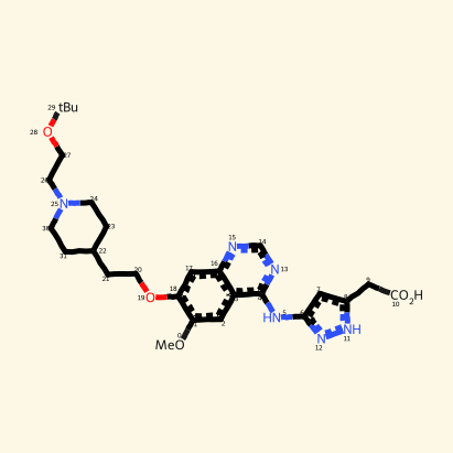 COc1cc2c(Nc3cc(CC(=O)O)[nH]n3)ncnc2cc1OCCC1CCN(CCOC(C)(C)C)CC1